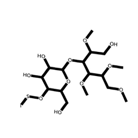 COCC(OC)C(OC)C(OC1OC(CO)C(OSI)C(O)C1O)C(CO)OC